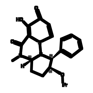 CC(C)O[C@H]1CC[C@H]2N(C)C(=O)c3c(O)c(=O)ccn3N2[C@@H]1c1ccccc1